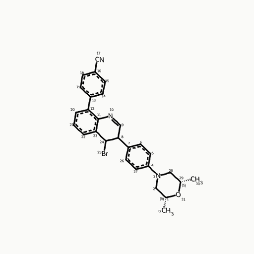 C[C@@H]1CN(c2ccc(C3C=Nc4c(-c5ccc(C#N)cc5)cccc4C3Br)cc2)C[C@H](C)O1